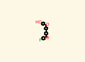 O=C(c1ccc(O)cc1)c1ccc(-c2ccc(C(=O)c3ccc(F)cc3)cc2)cc1